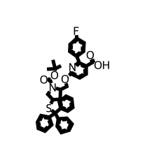 CC(C)(C)OC(=O)N1CC(SC(c2ccccc2)(c2ccccc2)c2ccccc2)CC1COc1ccc(C(=O)O)c(-c2ccc(F)cc2)n1